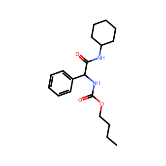 CCCCOC(=O)NC(C(=O)NC1CCCCC1)c1ccccc1